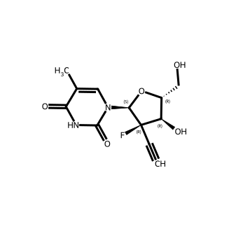 C#C[C@@]1(F)[C@H](O)[C@@H](CO)O[C@@H]1n1cc(C)c(=O)[nH]c1=O